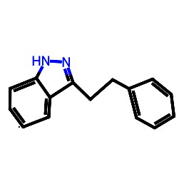 [c]1ccc2[nH]nc(CCc3ccccc3)c2c1